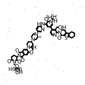 [2H]C([2H])([2H])n1cc(-c2ccnc(N3CCc4c(sc5c4CCCC5)C3=O)c2CO)cc(Nc2ccc(N3CCN([C@H]4CCN5c6cc7c(cc6OC[C@H]5C4)C(=O)N(C4CCC(=O)N(COP(=O)(O)O)C4=O)C7=O)C[C@@H]3C)cn2)c1=O